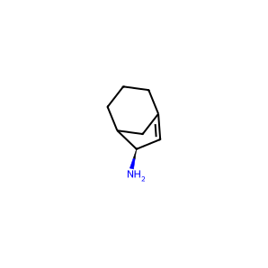 N[C@@H]1C=C2CCCC1C2